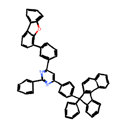 c1ccc(-c2nc(-c3ccc(C4(c5ccccc5)c5ccccc5-c5c4ccc4ccccc54)cc3)cc(-c3cccc(-c4cccc5c4oc4ccccc45)c3)n2)cc1